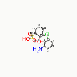 Nc1cccc(Cl)c1Oc1ccccc1S(=O)(=O)O